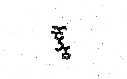 C=C(C)C(=O)N(CC)CC(=O)O/C=C(\C)C(=O)N(CC)CC(=O)O